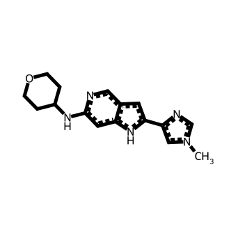 Cn1cnc(-c2cc3cnc(NC4CCOCC4)cc3[nH]2)c1